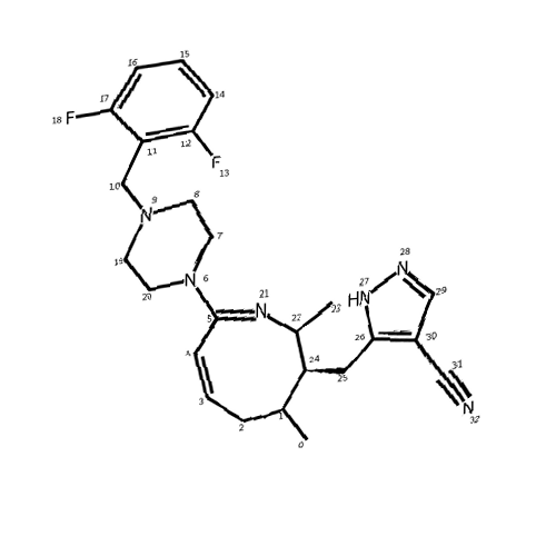 CC1C/C=C\C(N2CCN(Cc3c(F)cccc3F)CC2)=N/C(C)[C@H]1Cc1[nH]ncc1C#N